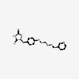 O=C1NC(=O)C(Cc2ccc(OCCON=Cc3cccnc3)cc2)S1